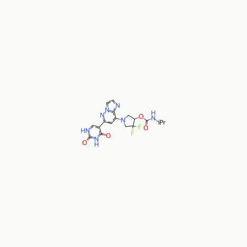 CC(C)NC(=O)OC1CN(c2cc(-c3c[nH]c(=O)[nH]c3=O)nn3ccnc23)CC1(F)F